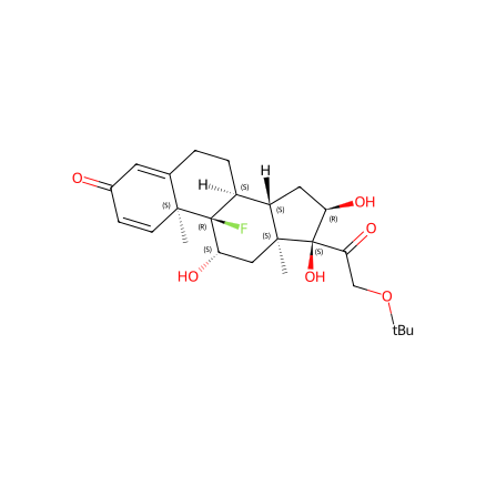 CC(C)(C)OCC(=O)[C@@]1(O)[C@H](O)C[C@H]2[C@@H]3CCC4=CC(=O)C=C[C@]4(C)[C@@]3(F)[C@@H](O)C[C@@]21C